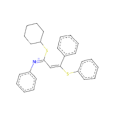 C(=C(Sc1ccccc1)c1ccccc1)/C(=N\c1ccccc1)SC1CCCCC1